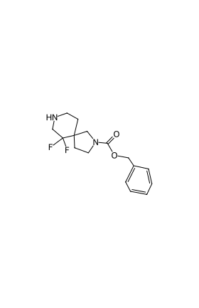 O=C(OCc1ccccc1)N1CCC2(CCNCC2(F)F)C1